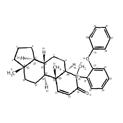 C[C@@]12CCC[C@H]1[C@@H]1CC[C@@H]3[C@](C)(C=CC(=O)[N+]3(C)c3ccccc3Oc3ccccc3)[C@H]1CC2